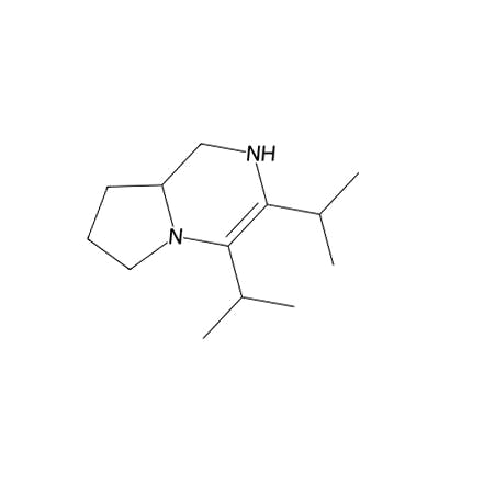 CC(C)C1=C(C(C)C)N2CCCC2CN1